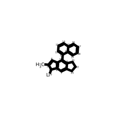 [Li][CH]1C(C)=Cc2c1cc1c(c2-c2cccc3ccccc23)CCC1